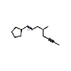 CC#CCC(C)C/C=C/C1CCCC1